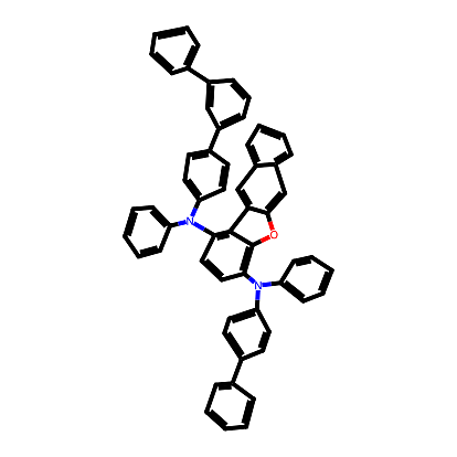 c1ccc(-c2ccc(N(c3ccccc3)c3ccc(N(c4ccccc4)c4ccc(-c5cccc(-c6ccccc6)c5)cc4)c4c3oc3cc5ccccc5cc34)cc2)cc1